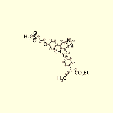 CC#CC(CC(=O)OCC)c1ccc(OCc2cc(-c3ccc(OCCCS(C)(=O)=O)cc3C)cn3ncnc23)cc1